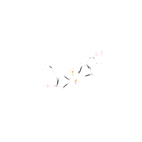 C=CCc1cc(S(=O)(=O)c2ccc3c(c2)CC(O)C3)ccc1O